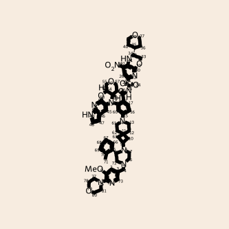 COc1cc(CN2CCN(C3CC4(CCN(c5ccc(C(=O)NS(=O)(=O)c6cc([N+](=O)[O-])c7c(n6)OC[C@@H](C6CCOCC6)N7)c(N6c7cc8cc[nH]c8nc7O[C@H]7COCC[C@@H]76)c5)CC4)C3)[C@H](c3ccccc3C)C2)cnc1N1CCOCC1